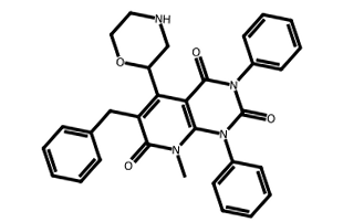 Cn1c(=O)c(Cc2ccccc2)c(C2CNCCO2)c2c(=O)n(-c3ccccc3)c(=O)n(-c3ccccc3)c21